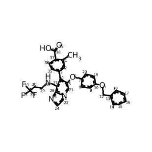 Cc1cc(-c2c(Oc3ccc(OCc4ccccc4)cc3)cn3ccnc3c2NCCC(F)(F)F)ccc1C(=O)O